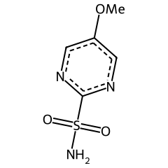 COc1cnc(S(N)(=O)=O)nc1